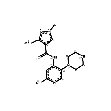 COc1nn(C)cc1C(=O)Nc1cc(C#N)ncc1N1CCNCC1